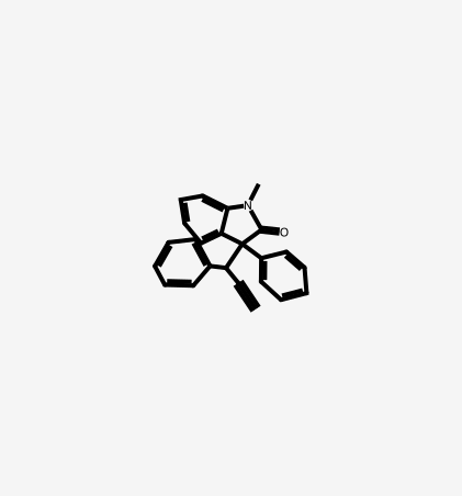 C#CC(c1ccccc1)C1(c2ccccc2)C(=O)N(C)c2ccccc21